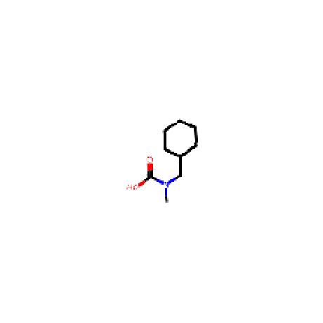 CN(CC1CCCCC1)C(=O)O